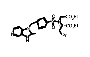 CCOC(=O)CN([C@@H](CC(C)C)C(=O)OCC)S(=O)(=O)c1ccc(CN2c3ccncc3NC2C)cc1